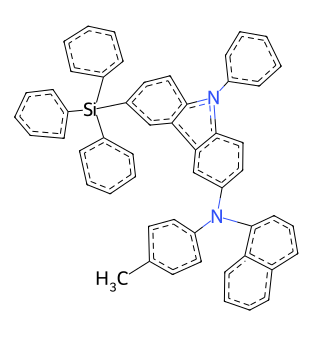 Cc1ccc(N(c2ccc3c(c2)c2cc([Si](c4ccccc4)(c4ccccc4)c4ccccc4)ccc2n3-c2ccccc2)c2cccc3ccccc23)cc1